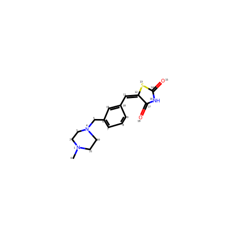 CN1CCN(Cc2cccc(C=C3SC(=O)NC3=O)c2)CC1